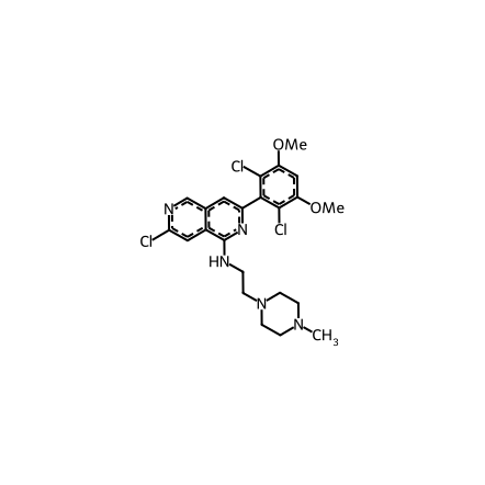 COc1cc(OC)c(Cl)c(-c2cc3cnc(Cl)cc3c(NCCN3CCN(C)CC3)n2)c1Cl